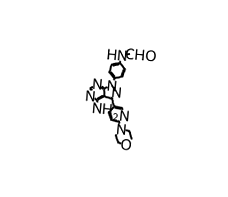 Nc1ncnc2c1c(-c1ccc(N3CCOCC3)nc1)nn2-c1ccc(NC=O)cc1